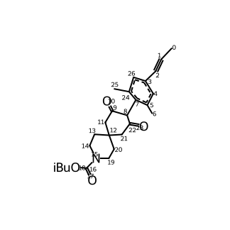 CC#Cc1cc(C)c(C2C(=O)CC3(CCN(C(=O)OCC(C)C)CC3)CC2=O)c(C)c1